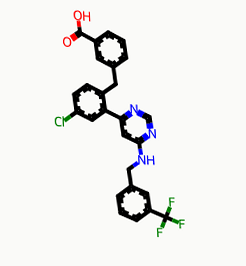 O=C(O)c1cccc(Cc2ccc(Cl)cc2-c2cc(NCc3cccc(C(F)(F)F)c3)ncn2)c1